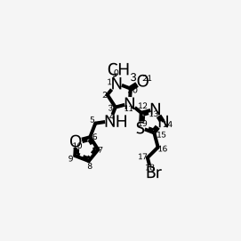 CN1CC(NCc2ccco2)N(c2nnc(CCBr)s2)C1=O